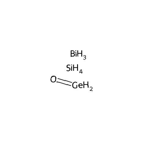 [BiH3].[O]=[GeH2].[SiH4]